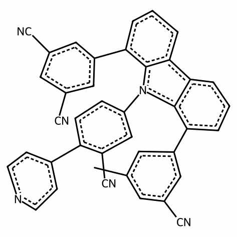 Cc1cc(C#N)cc(-c2cccc3c4cccc(-c5cc(C#N)cc(C#N)c5)c4n(-c4ccc(-c5ccncc5)c(C#N)c4)c23)c1